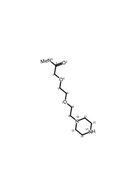 CNC(=O)COCCOCCN1CCNCC1